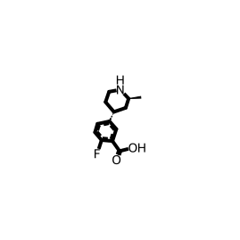 C[C@H]1C[C@H](c2ccc(F)c(C(=O)O)c2)CCN1